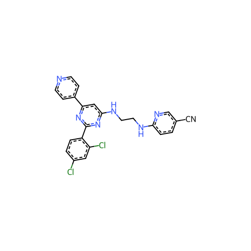 N#Cc1ccc(NCCNc2cc(-c3ccncc3)nc(-c3ccc(Cl)cc3Cl)n2)nc1